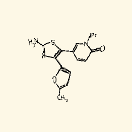 Cc1ccc(-c2nc(N)sc2-c2ccc(=O)n(C(C)C)c2)o1